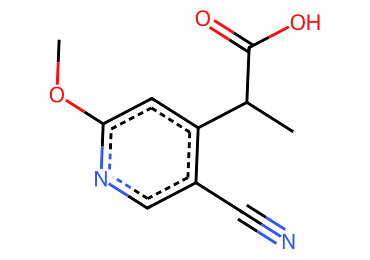 COc1cc(C(C)C(=O)O)c(C#N)cn1